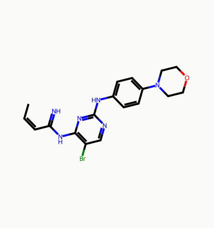 C/C=C\C(=N)Nc1nc(Nc2ccc(N3CCOCC3)cc2)ncc1Br